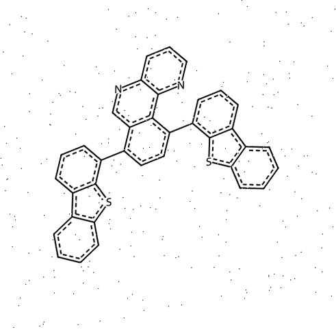 c1cnc2c(c1)ncc1c(-c3cccc4c3sc3ccccc34)ccc(-c3cccc4c3sc3ccccc34)c12